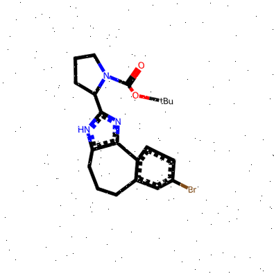 CC(C)(C)OC(=O)N1CCCC1c1nc2c([nH]1)CCCc1cc(Br)ccc1-2